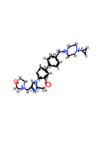 c1cc(-c2ccc3c(c2)OCc2nc(CN4CCOCC4)cn2-3)ccc1CN1CCN(C2CC2)CC1